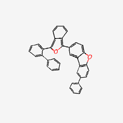 c1ccc(-c2ccc3oc4ccc(-c5oc(-c6ccccc6-c6ccccc6)c6ccccc56)cc4c3c2)cc1